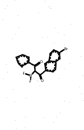 O=C(c1ccccc1)C(B(F)F)C(=O)c1ccc2cc(Br)ccc2c1